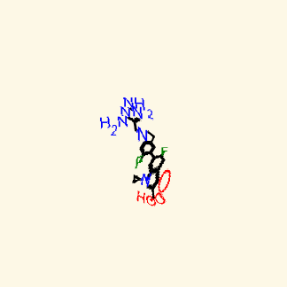 Nc1ncc(CN2CCc3cc(-c4cc5c(cc4F)c(=O)c(C(=O)O)cn5C4CC4)c(F)cc32)c(N)n1